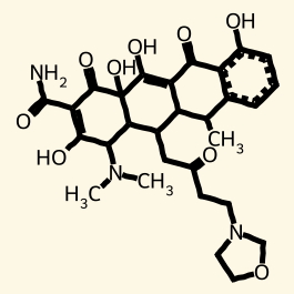 CC1c2cccc(O)c2C(=O)C2=C(O)C3(O)C(=O)C(C(N)=O)=C(O)C(N(C)C)C3C(CC(=O)CCN3CCOC3)C21